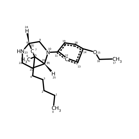 CCCCCC1(C)C[C@H]2CN(c3ccc(OCC)cc3)[C@@H]1CCN2